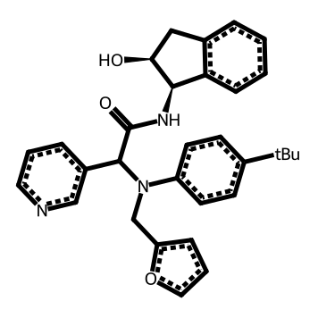 CC(C)(C)c1ccc(N(Cc2ccco2)C(C(=O)N[C@@H]2c3ccccc3C[C@@H]2O)c2cccnc2)cc1